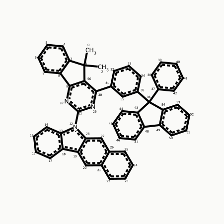 CC1(C)c2ccccc2-c2nc(-n3c4ccccc4c4cc5ccccc5cc43)nc(-c3cccc(C4(c5ccccc5)c5ccccc5-c5ccccc54)c3)c21